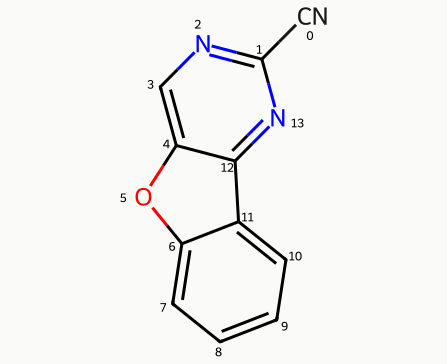 N#Cc1ncc2oc3ccccc3c2n1